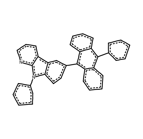 c1ccc(-c2c3ccccc3c(-c3ccc4c(c3)c3cccnc3n4-c3ccccc3)c3ccccc23)cc1